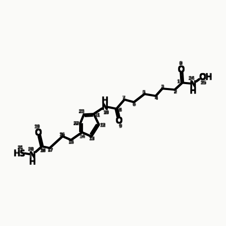 O=C(CCCCCCC(=O)Nc1ccc(CCCC(=O)NS)cc1)NO